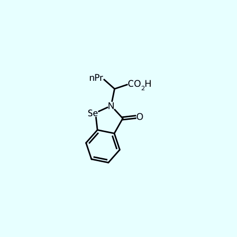 CCCC(C(=O)O)n1[se]c2ccccc2c1=O